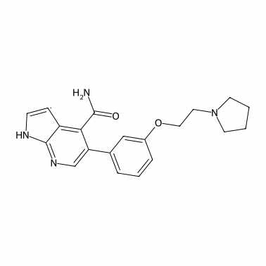 NC(=O)c1c(-c2cccc(OCCN3CCCC3)c2)cnc2[nH]c[c]c12